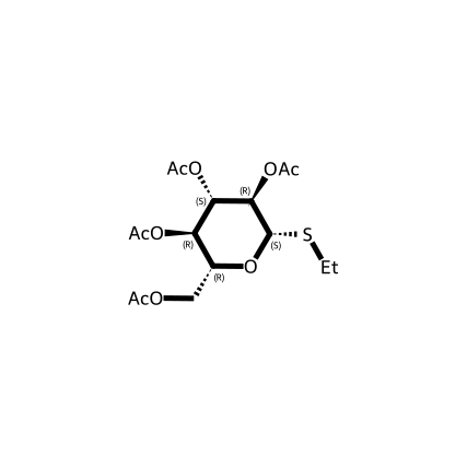 CCS[C@@H]1O[C@H](COC(C)=O)[C@@H](OC(C)=O)[C@H](OC(C)=O)[C@H]1OC(C)=O